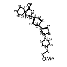 COCCN1CCN(c2nc(-c3ccc(C4=NC5(CCCCC5)C(=O)O4)cc3)cs2)CC1